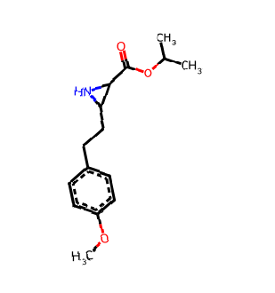 COc1ccc(CCC2NC2C(=O)OC(C)C)cc1